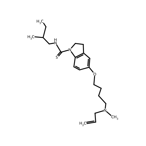 C=CCN(C)CCCCOc1ccc2c(c1)CCN2C(=S)NCC(C)CC